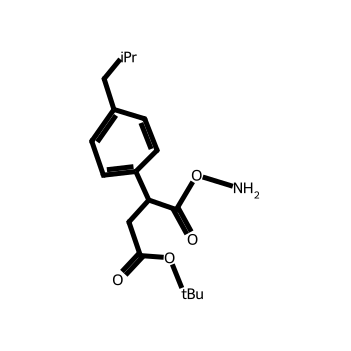 CC(C)Cc1ccc(C(CC(=O)OC(C)(C)C)C(=O)ON)cc1